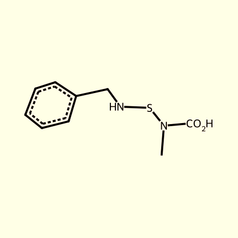 CN(SNCc1ccccc1)C(=O)O